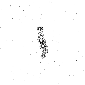 O=c1c2ccc(OC[C@H]3CCCO3)cc2ccn1-c1ccc(N2CCC(N3CCC3)C2)c(F)c1